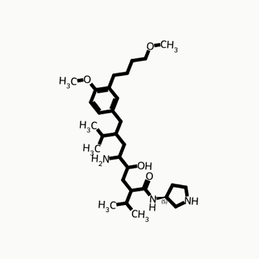 COCCCCc1cc(CC(CC(N)C(O)CC(C(=O)N[C@H]2CCNC2)C(C)C)C(C)C)ccc1OC